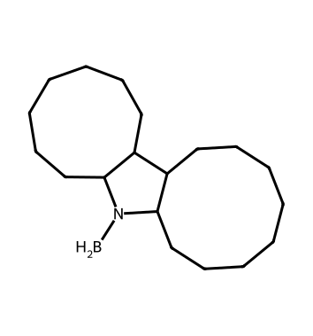 BN1C2CCCCCCCCC2C2CCCCCCCC21